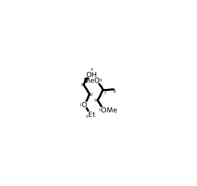 CCOCCO.COCC(C)OC